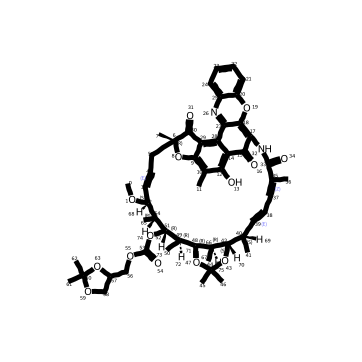 CO[C@H]1/C=C/C[C@@]2(C)Oc3c(C)c(O)c4c(=O)c(c5oc6ccccc6nc-5c4c3C2=O)NC(=O)/C(C)=C\C=C\[C@H](C)[C@@H]2OC(C)(C)O[C@@H]([C@@H](C)[C@H](OC(=O)OCC3COC(C)(C)O3)[C@@H]1C)[C@@H]2C